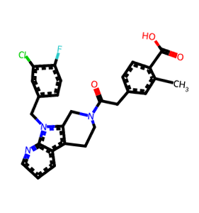 Cc1cc(CC(=O)N2CCc3c(n(Cc4ccc(F)c(Cl)c4)c4ncccc34)C2)ccc1C(=O)O